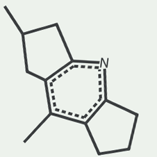 Cc1c2c(nc3c1CC(C)C3)CCC2